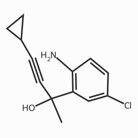 CC(O)(C#CC1CC1)c1cc(Cl)ccc1N